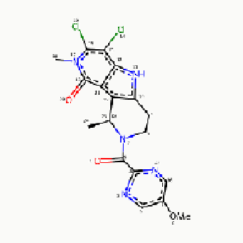 COc1cnc(C(=O)N2CCc3[nH]c4c(Cl)c(Cl)n(C)c(=O)c4c3[C@@H]2C)nc1